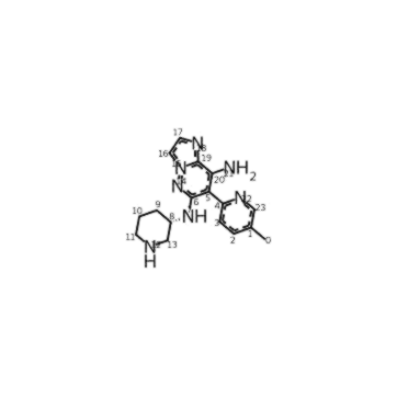 Cc1ccc(-c2c(N[C@H]3CCCNC3)nn3ccnc3c2N)nc1